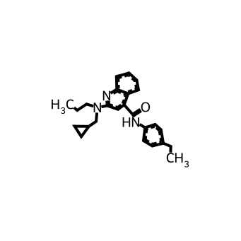 CCCN(CC1CC1)c1cc(C(=O)Nc2ccc(CC)cc2)c2ccccc2n1